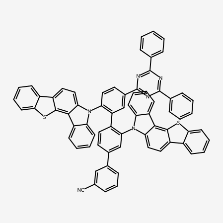 N#Cc1cccc(-c2ccc(-c3cc(-c4nc(-c5ccccc5)nc(-c5ccccc5)n4)ccc3-n3c4ccccc4c4c5sc6ccccc6c5ccc43)c(-n3c4ccccc4c4c5sc6ccccc6c5ccc43)c2)c1